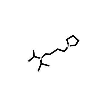 CC(C)N(CCC[CH2][Al]1[CH2]CC[CH2]1)C(C)C